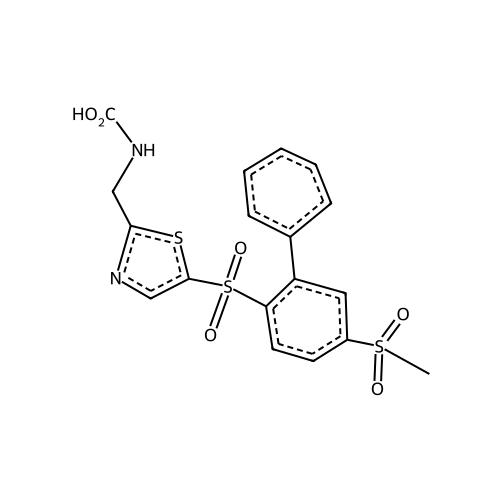 CS(=O)(=O)c1ccc(S(=O)(=O)c2cnc(CNC(=O)O)s2)c(-c2ccccc2)c1